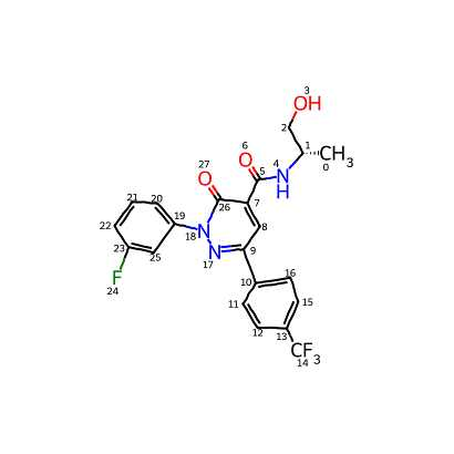 C[C@@H](CO)NC(=O)c1cc(-c2ccc(C(F)(F)F)cc2)nn(-c2cccc(F)c2)c1=O